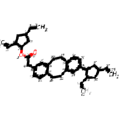 C=CC1CC(C=C)C(OC(=O)Cc2ccc3c(c2)CCc2ccc(C4CC(C=C)CC4C=C)cc2CC3)C1